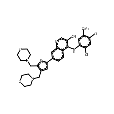 COc1cc(Nc2c(C#N)cnc3cc(-c4cc(CN5CCOCC5)c(CN5CCOCC5)s4)ccc23)c(Cl)cc1Cl